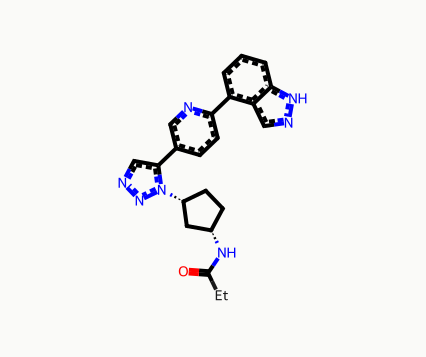 CCC(=O)N[C@H]1CC[C@@H](n2nncc2-c2ccc(-c3cccc4[nH]ncc34)nc2)C1